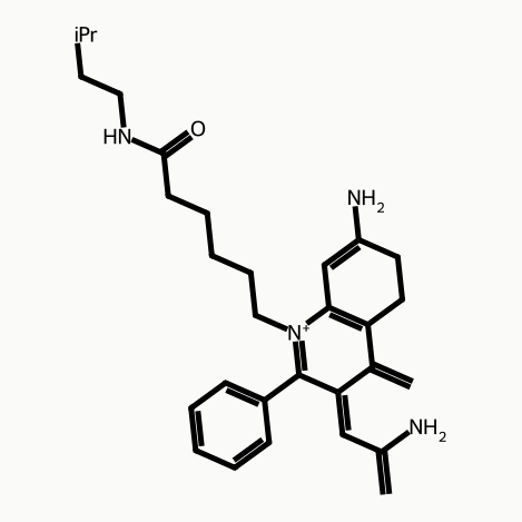 C=C(N)/C=c1/c(-c2ccccc2)[n+](CCCCCC(=O)NCCC(C)C)c2c(c1=C)CCC(N)=C2